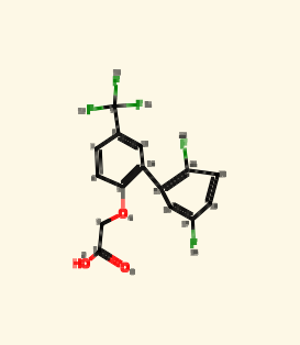 O=C(O)COc1ccc(C(F)(F)F)cc1-c1cc(F)ccc1F